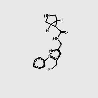 CC(C)Cc1cc(CNC(=O)[C@H]2[C@@H]3CNC[C@@H]32)nn1-c1ccccc1